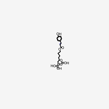 O=C(/C=C/c1ccc(O)cc1)OCCCCC(CON(O)O)ON(O)O